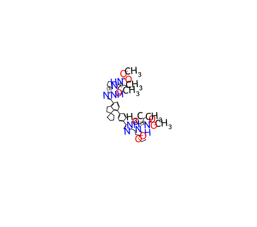 COC(=O)N[C@H](C(=O)N1CC2(CC1c1ncc(-c3ccc(-c4ccc(-c5cnc([C@@H]6CCCN6C(=O)[C@@H](NC(=O)OC)C(C)C)[nH]5)c5c4C4(CCCC4)CC5)cc3)[nH]1)OCCO2)C(C)C